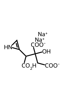 O=C([O-])CC(O)(C(=O)[O-])C(C(=O)O)C1=CN1.[Na+].[Na+]